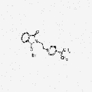 CN(C)c1cc[n+](CCN2C(=O)c3ccccc3C2=O)cc1.[Br-]